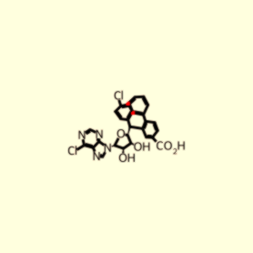 O=C(O)c1ccc(-c2ccccc2)c(C(c2ccc(Cl)cc2)[C@@H]2O[C@@H](n3cnc4c(Cl)ncnc43)[C@H](O)[C@@H]2O)c1